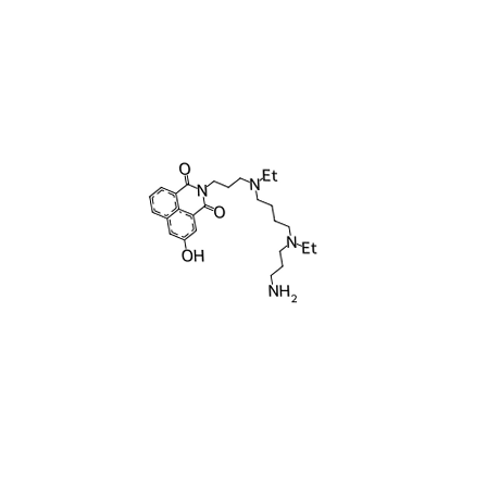 CCN(CCCN)CCCCN(CC)CCCN1C(=O)c2cccc3cc(O)cc(c23)C1=O